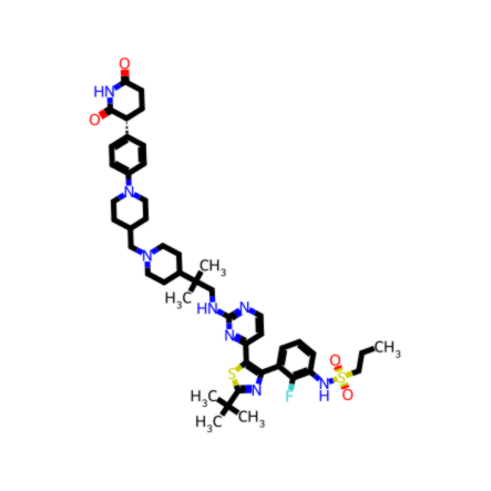 CCCS(=O)(=O)Nc1cccc(-c2nc(C(C)(C)C)sc2-c2ccnc(NCC(C)(C)C3CCN(CC4CCN(c5ccc([C@H]6CCC(=O)NC6=O)cc5)CC4)CC3)n2)c1F